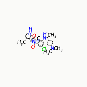 Cc1cc[nH]c(=O)c1CNC(=O)c1cc(Cl)cc(NC(C)[C@H]2CC[C@H](N(C)C)CC2)c1C